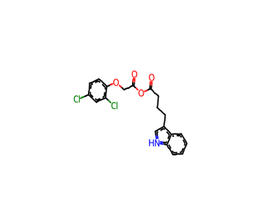 O=C(CCCc1c[nH]c2ccccc12)OC(=O)COc1ccc(Cl)cc1Cl